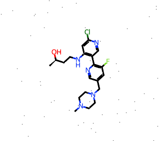 C[C@@H](O)CCNc1cc(Cl)ncc1-c1ncc(CN2CCN(C)CC2)cc1F